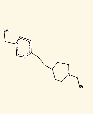 CNCc1ccc(CCC2CCN(CC(C)C)CC2)nc1